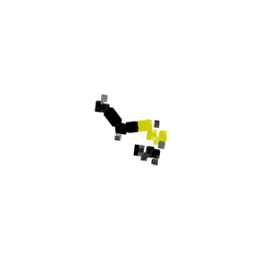 S.[S]=[W]=[Se].[SeH2]